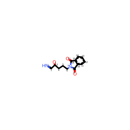 N=CC(=O)CCCN1C(=O)c2ccccc2C1=O